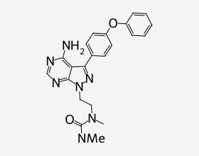 CNC(=O)N(C)CCn1nc(-c2ccc(Oc3ccccc3)cc2)c2c(N)ncnc21